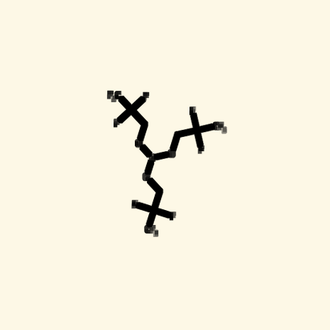 FC(F)(F)C(F)(F)COB(OCC(F)(F)C(F)(F)F)OCC(F)(F)C(F)(F)F